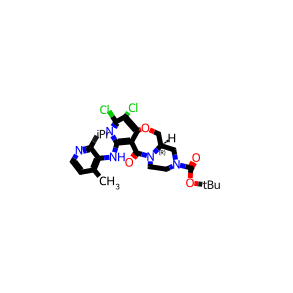 Cc1ccnc(C(C)C)c1Nc1nc(Cl)c(Cl)c2c1C(=O)N1CCN(C(=O)OC(C)(C)C)C[C@@H]1CO2